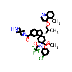 COC(=O)C1(N(C(=O)C(F)(F)F)c2cccc(Cl)c2)CCC2(CC1)c1cc(C(=O)N3CC4(CNC4)C3)ccc1C[C@@H]2C[C@@H](C)COc1ccnc2c1[C@H](C)CCC2